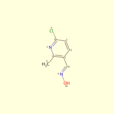 Cc1nc(Cl)ccc1/C=N/O